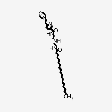 CCC=CCC=CCC=CCC=CCC=CCCCC(=O)NCCNCCNC(=O)c1ccc(CCN2CCOCC2)nc1